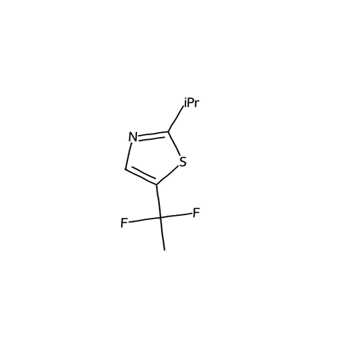 CC(C)c1ncc(C(C)(F)F)s1